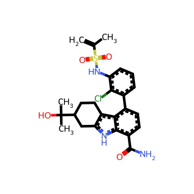 C=C(C)S(=O)(=O)Nc1cccc(-c2ccc(C(N)=O)c3[nH]c4c(c23)CCC(C(C)(C)O)C4)c1Cl